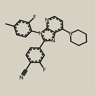 Cc1ccc(-n2c(-c3ccc(C#N)c(F)c3)nc3c(N4CCCCC4)ccnc32)c(F)c1